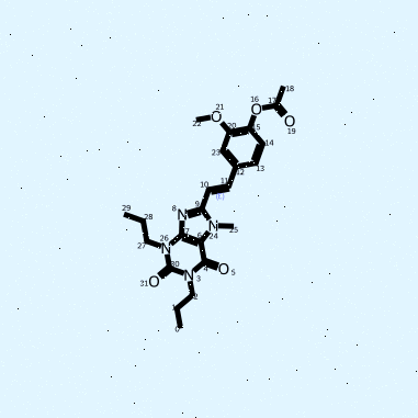 CCCn1c(=O)c2c(nc(/C=C/c3ccc(OC(C)=O)c(OC)c3)n2C)n(CCC)c1=O